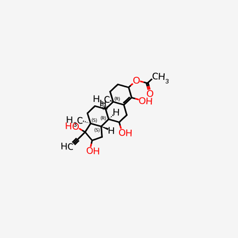 C#CC1(O)C(O)C[C@H]2[C@@H]3C(O)CC4=C(O)C(OC(C)=O)CC[C@]4(C)[C@@H]3CC[C@@]21C